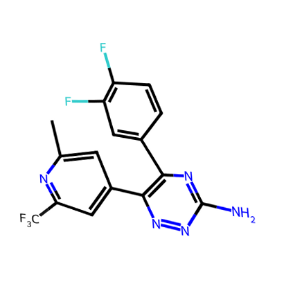 Cc1cc(-c2nnc(N)nc2-c2ccc(F)c(F)c2)cc(C(F)(F)F)n1